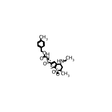 CCN[C@H]1CC(C)S(=O)(=O)c2sc([S+]([O-])NC(=O)OCc3ccc(C)cc3)cc21